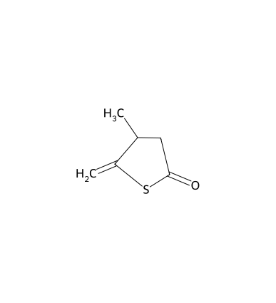 C=C1SC(=O)CC1C